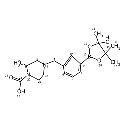 CC1CN(Cc2cccc(B3OC(C)(C)C(C)(C)O3)c2)CCN1C(=O)O